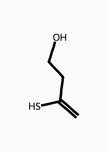 C=C(S)CCO